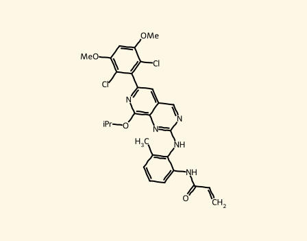 C=CC(=O)Nc1cccc(C)c1Nc1ncc2cc(-c3c(Cl)c(OC)cc(OC)c3Cl)nc(OC(C)C)c2n1